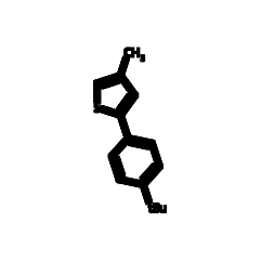 Cc1csc(-c2ccc(C(C)(C)C)cc2)c1